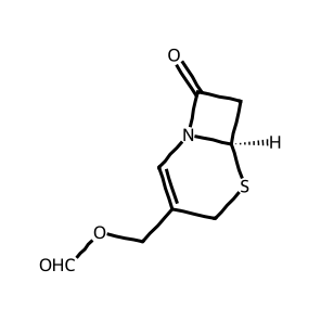 O=COCC1=CN2C(=O)C[C@H]2SC1